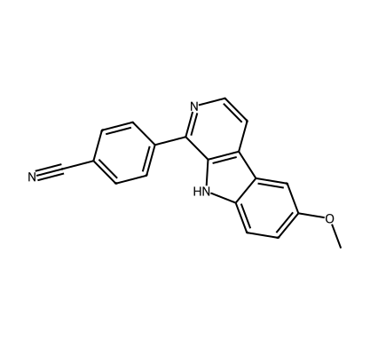 COc1ccc2[nH]c3c(-c4ccc(C#N)cc4)nccc3c2c1